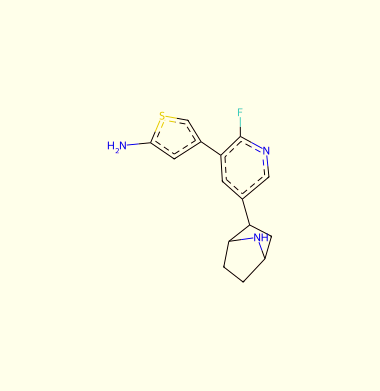 Nc1cc(-c2cc(C3CC4CCC3N4)cnc2F)cs1